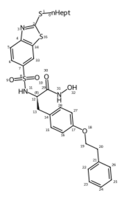 CCCCCCCSc1nc2ccc(S(=O)(=O)N[C@H](Cc3ccc(OCCc4ccccc4)cc3)C(=O)NO)cc2s1